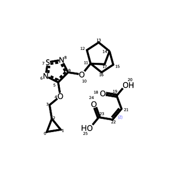 C1CC1COc1nsnc1OC12CCC(CC1)C2.O=C(O)/C=C\C(=O)O